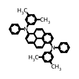 Cc1cc(C)cc(N(C2=CC=C3C=Cc4c(N(c5ccccc5)c5cc(C)cc(C)c5)ccc5c4C3C2C=C5)c2ccccc2)c1